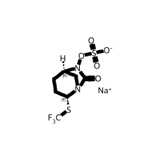 O=C1N2C[C@@H](CC[C@H]2SC(F)(F)F)N1OS(=O)(=O)[O-].[Na+]